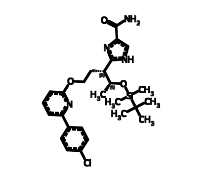 C[C@H](O[Si](C)(C)C(C)(C)C)[C@H](CCOc1cccc(-c2ccc(Cl)cc2)n1)c1nc(C(N)=O)c[nH]1